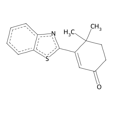 CC1(C)CCC(=O)C=C1c1nc2ccccc2s1